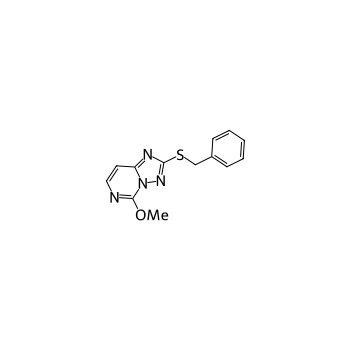 COc1nccc2nc(SCc3ccccc3)nn12